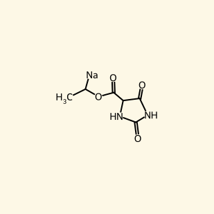 C[CH]([Na])OC(=O)C1NC(=O)NC1=O